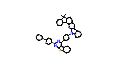 CC1(C)c2ccccc2-c2c1ccc1cc3c4ccccc4n(-c4ccc(-c5nc(-c6ccc(-c7ccccc7)cc6)nc6sc7ccccc7c56)cc4)c3cc21